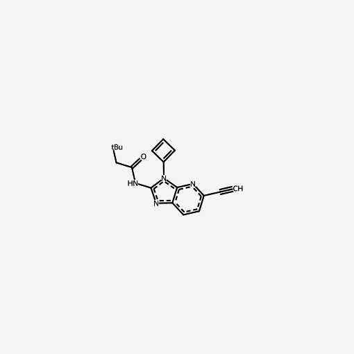 C#Cc1ccc2nc(NC(=O)CC(C)(C)C)n(C3=CC=C3)c2n1